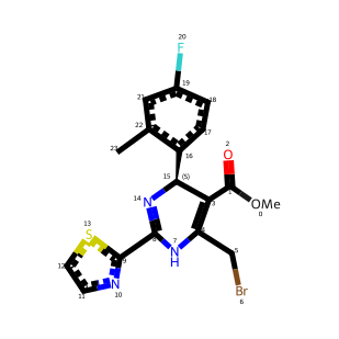 COC(=O)C1=C(CBr)NC(c2nccs2)=N[C@H]1c1ccc(F)cc1C